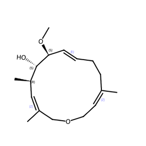 CO[C@H]1/C=C/CC/C(C)=C\COC/C(C)=C\[C@@H](C)[C@@H]1O